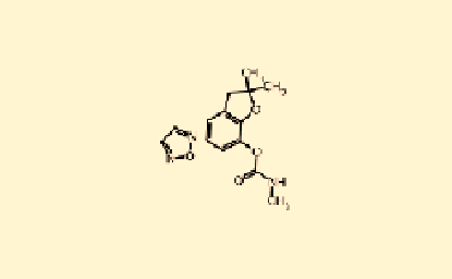 CNC(=O)Oc1cccc2c1OC(C)(C)C2.c1cnon1